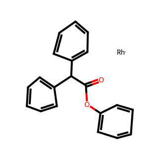 O=C(Oc1ccccc1)C(c1ccccc1)c1ccccc1.[Rh]